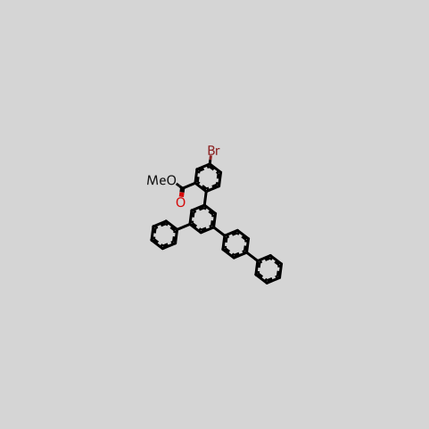 COC(=O)c1cc(Br)ccc1-c1cc(-c2ccccc2)cc(-c2ccc(-c3ccccc3)cc2)c1